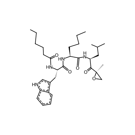 CCCCCC(=O)N[C@@H](Cc1c[nH]c2ccccc12)C(=O)N[C@@H](CCCC)C(=O)N[C@@H](CC(C)C)C(=O)[C@@]1(C)CO1